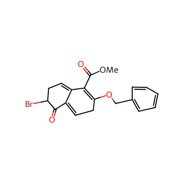 COC(=O)C1=C(OCc2ccccc2)CC=C2C(=O)C(Br)CC=C21